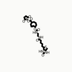 O=C(CCCCC1SCC2NC(=O)NC21)NCCNC(=O)OC1/C=C/CC(C(=O)ON2C(=O)CCC2=O)CCC1